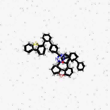 c1ccc(-c2cccc(-c3nc(-c4ccc(-c5ccccc5-c5cccc6c5sc5ccccc56)cc4)nc(-c4cccc5oc6cccc(-c7ccccc7)c6c45)n3)c2)cc1